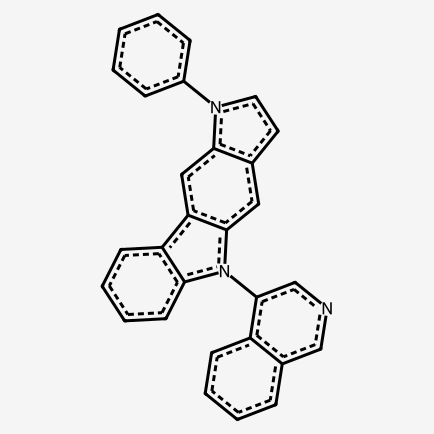 c1ccc(-n2ccc3cc4c(cc32)c2ccccc2n4-c2cncc3ccccc23)cc1